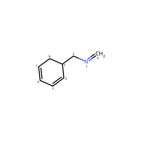 C=NCC1C=CC=CC1